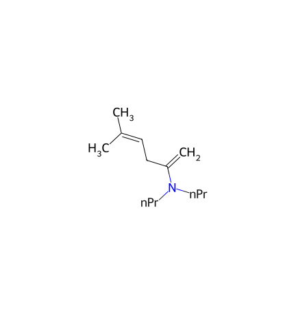 C=C(CC=C(C)C)N(CCC)CCC